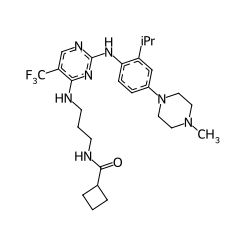 CC(C)c1cc(N2CCN(C)CC2)ccc1Nc1ncc(C(F)(F)F)c(NCCCNC(=O)C2CCC2)n1